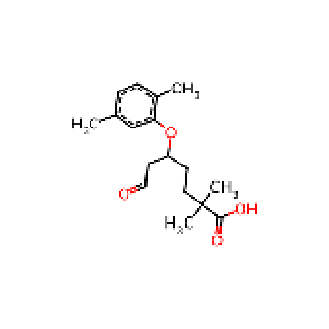 Cc1ccc(C)c(OC(CC=O)CCC(C)(C)C(=O)O)c1